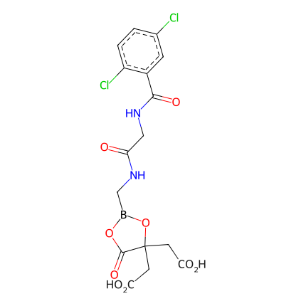 O=C(O)CC1(CC(=O)O)OB(CNC(=O)CNC(=O)c2cc(Cl)ccc2Cl)OC1=O